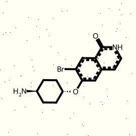 N[C@H]1CC[C@H](Oc2cc3cc[nH]c(=O)c3cc2Br)CC1